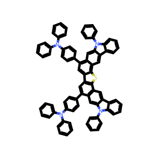 c1ccc(N(c2ccccc2)c2ccc(-c3cc4c5cc(-c6ccc(N(c7ccccc7)c7ccccc7)cc6)c6cc7c(cc6c5sc4c4cc5c6ccccc6n(-c6ccccc6)c5cc34)c3ccccc3n7-c3ccccc3)cc2)cc1